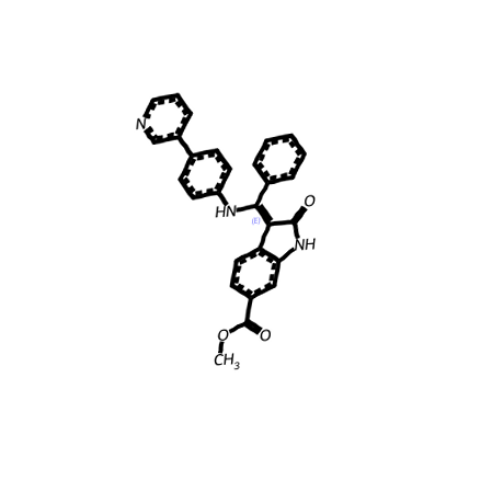 COC(=O)c1ccc2c(c1)NC(=O)/C2=C(/Nc1ccc(-c2cccnc2)cc1)c1ccccc1